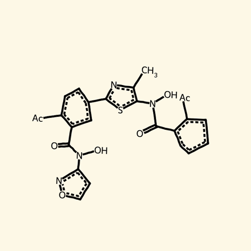 CC(=O)c1ccc(-c2nc(C)c(N(O)C(=O)c3ccccc3C(C)=O)s2)cc1C(=O)N(O)c1ccon1